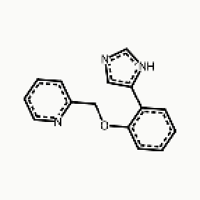 c1ccc(COc2ccccc2-c2cnc[nH]2)nc1